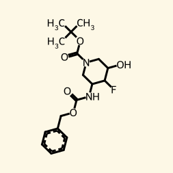 CC(C)(C)OC(=O)N1CC(O)C(F)C(NC(=O)OCc2ccccc2)C1